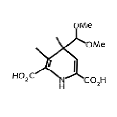 COC(OC)C1(C)C=C(C(=O)O)NC(C(=O)O)=C1C